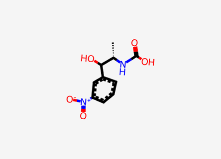 C[C@H](NC(=O)O)C(O)c1cccc([N+](=O)[O-])c1